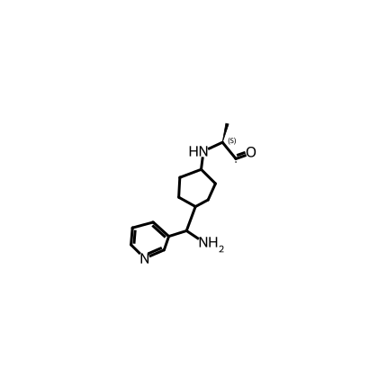 C[C@@H]([C]=O)NC1CCC(C(N)c2cccnc2)CC1